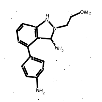 COCCN1Nc2cccc(-c3ccc(N)cc3)c2C1N